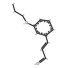 CCCOc1cccc(/C=C/C=O)c1